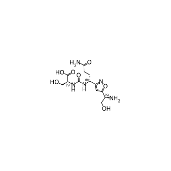 NC(=O)CC[C@@H](NC(=O)N[C@@H](CO)C(=O)O)c1cc([C@@H](N)CO)on1